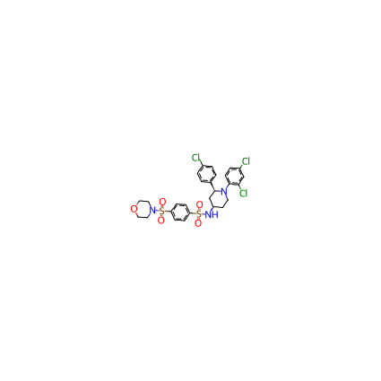 O=S(=O)(N[C@@H]1CCN(c2ccc(Cl)cc2Cl)[C@H](c2ccc(Cl)cc2)C1)c1ccc(S(=O)(=O)N2CCOCC2)cc1